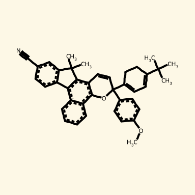 COc1ccc(C2(C3=CC=C(C(C)(C)C)CC3)C=Cc3c4c(c5ccccc5c3O2)-c2ccc(C#N)cc2C4(C)C)cc1